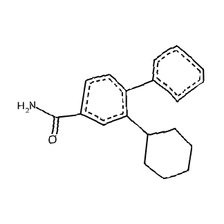 NC(=O)c1ccc(-c2ccccc2)c(C2CCCCC2)c1